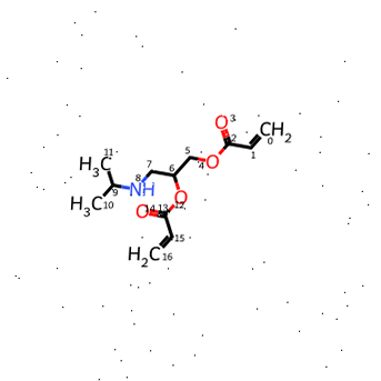 C=CC(=O)OCC(CNC(C)C)OC(=O)C=C